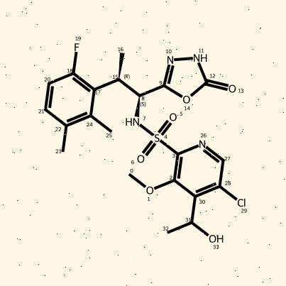 COc1c(S(=O)(=O)N[C@H](c2n[nH]c(=O)o2)[C@H](C)c2c(F)ccc(C)c2C)ncc(Cl)c1C(C)O